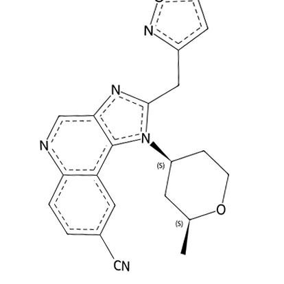 C[C@H]1C[C@@H](n2c(Cc3ccon3)nc3cnc4ccc(C#N)cc4c32)CCO1